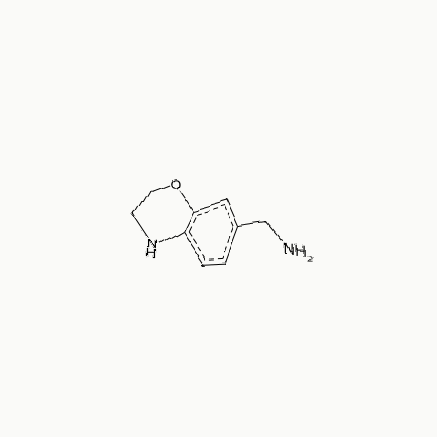 NCc1ccc2c(c1)OCCN2